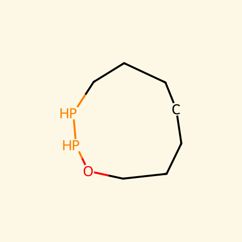 C1CCCOPPCCC1